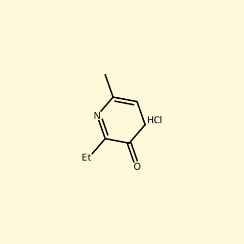 CCC1=NC(C)=CCC1=O.Cl